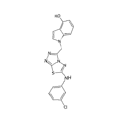 Oc1cccc2c1ccn2Cc1nnc2sc(Nc3cccc(Cl)c3)nn12